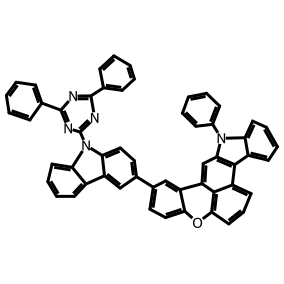 c1ccc(-c2nc(-c3ccccc3)nc(-n3c4ccccc4c4cc(-c5ccc6c(c5)-c5cc7c(c8cccc(c58)O6)c5ccccc5n7-c5ccccc5)ccc43)n2)cc1